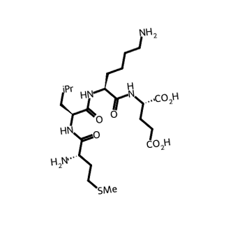 CSCC[C@H](N)C(=O)N[C@@H](CC(C)C)C(=O)N[C@@H](CCCCN)C(=O)N[C@@H](CCC(=O)O)C(=O)O